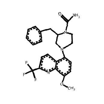 COc1ccc(N2CCN(C(N)=O)C(Cc3ccccc3)C2)c2ccc(C(F)(F)F)nc12